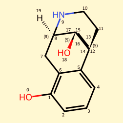 Oc1cccc2c1C[C@H]1NCC[C@@]23CCCC[C@@]13O